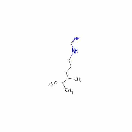 C=C(C)C(C)CCCNC=N